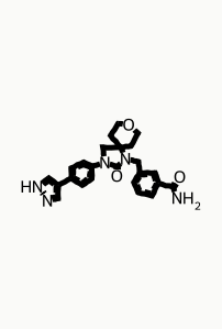 NC(=O)c1cccc(CN2C(=O)N(c3ccc(-c4cn[nH]c4)cc3)CC23CCOCC3)c1